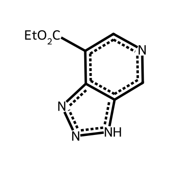 CCOC(=O)c1cncc2[nH]nnc12